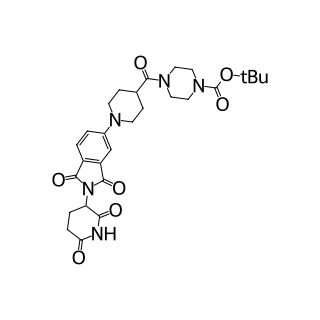 CC(C)(C)OC(=O)N1CCN(C(=O)C2CCN(c3ccc4c(c3)C(=O)N(C3CCC(=O)NC3=O)C4=O)CC2)CC1